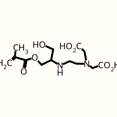 C=C(C)C(=O)OCC(CO)NCCN(CC(=O)O)CC(=O)O